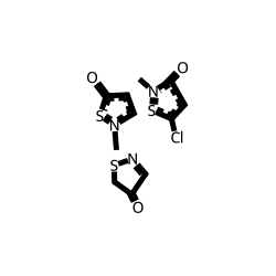 Cn1ccc(=O)s1.Cn1sc(Cl)cc1=O.O=C1C=NSC1